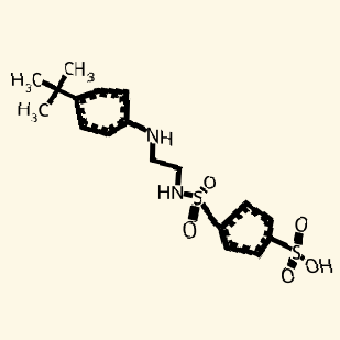 CC(C)(C)c1ccc(NCCNS(=O)(=O)c2ccc(S(=O)(=O)O)cc2)cc1